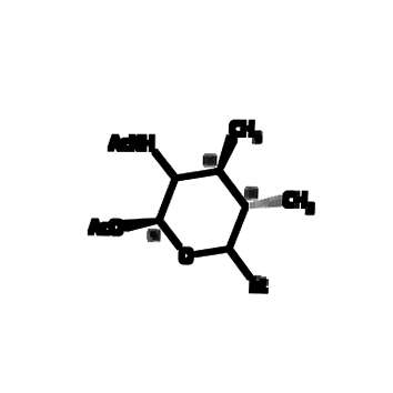 CCC1O[C@@H](OC(C)=O)C(NC(C)=O)[C@@H](C)[C@@H]1C